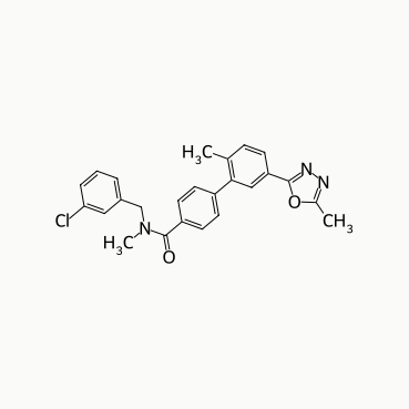 Cc1nnc(-c2ccc(C)c(-c3ccc(C(=O)N(C)Cc4cccc(Cl)c4)cc3)c2)o1